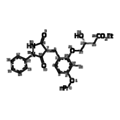 CCCOc1ccc(C=C2C(=O)NN(c3ccccc3)C2=O)c(OC[C@H](O)CC(=O)OCC)c1C